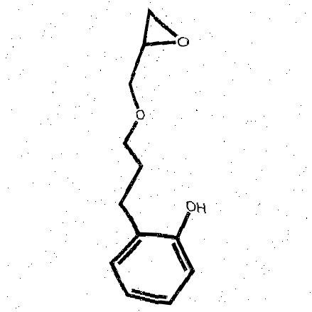 Oc1ccccc1CCCOCC1CO1